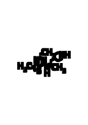 CCc1nc(N[C@@H](C)CC2CCNCC2)c2scc(C)c2n1